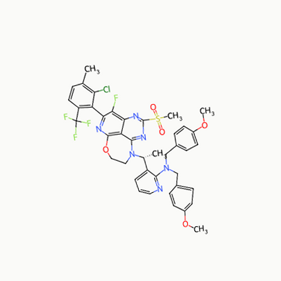 COc1ccc(CN(Cc2ccc(OC)cc2)c2ncccc2[C@@H](C)N2CCOc3nc(-c4c(C(F)(F)F)ccc(C)c4Cl)c(F)c4nc(S(C)(=O)=O)nc2c34)cc1